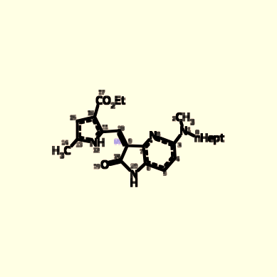 CCCCCCCN(C)c1ccc2c(n1)/C(=C/c1[nH]c(C)cc1C(=O)OCC)C(=O)N2